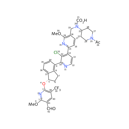 COc1nc(O[C@H]2CCc3c(-c4nccc(-c5ccc(CN(C(=O)O)C6CCN(C(C)=O)CC6)c(OC)n5)c4Cl)cccc32)c(C(F)(F)F)cc1C=O